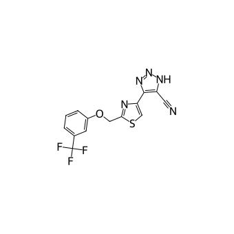 N#Cc1[nH]nnc1-c1csc(COc2cccc(C(F)(F)F)c2)n1